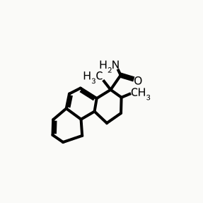 CC1CCC2C(=CC=C3C=CCCC32)C1(C)C(N)=O